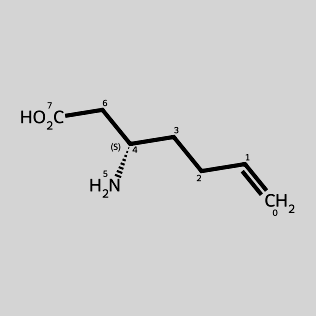 C=CCC[C@H](N)CC(=O)O